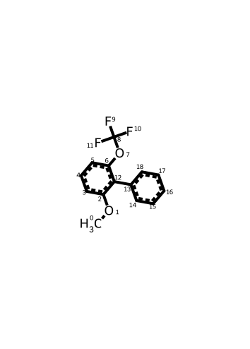 COc1cccc(OC(F)(F)F)c1-c1ccccc1